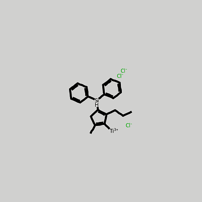 CCCC1=C([SiH](c2ccccc2)c2ccccc2)CC(C)=[C]1[Ti+3].[Cl-].[Cl-].[Cl-]